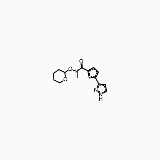 O=C(NOC1CCCCO1)c1ccc(-c2cc[nH]n2)s1